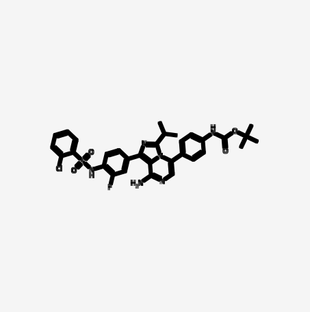 CC(C)c1nc(-c2ccc(NS(=O)(=O)c3ccccc3Cl)c(F)c2)c2c(N)ncc(-c3ccc(NC(=O)OC(C)(C)C)cc3)n12